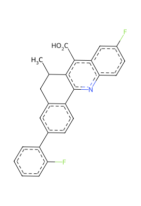 CC1Cc2cc(-c3ccccc3F)ccc2-c2nc3ccc(F)cc3c(C(=O)O)c21